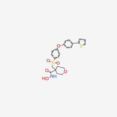 O=C(NO)C1(CS(=O)(=O)c2ccc(Oc3ccc(-c4cccs4)cc3)cc2)CCOCC1